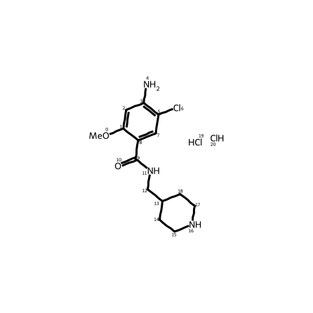 COc1cc(N)c(Cl)cc1C(=O)NCC1CCNCC1.Cl.Cl